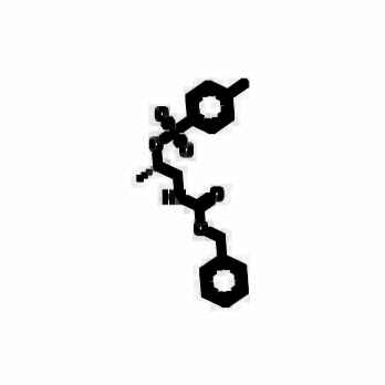 Cc1ccc(S(=O)(=O)O[C@@H](C)CNC(=O)OCc2ccccc2)cc1